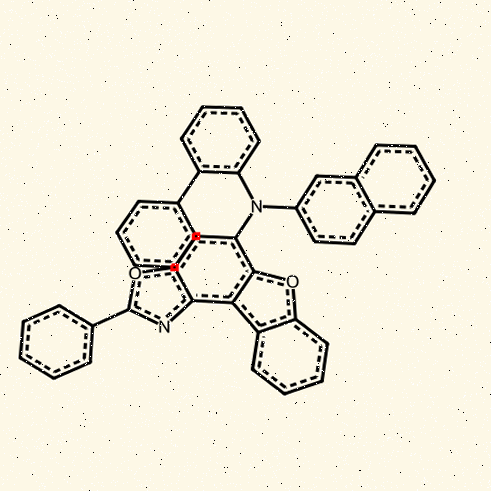 c1ccc(-c2nc3c(cc(N(c4ccc5ccccc5c4)c4ccccc4-c4ccccc4)c4oc5ccccc5c43)o2)cc1